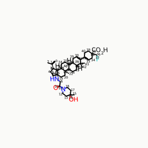 C=C(C)[C@@H]1CC[C@]2(NCC(=O)N3CCC(C)(O)CC3)CC[C@]3(C)[C@H](CC[C@@H]4[C@@]5(C)CC=C(C6=CC[C@](CF)(C(=O)O)CC6)C(C)(C)[C@@H]5CC[C@]43C)[C@@H]12